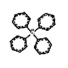 c1cc[c]([SbH]([c]2ccccc2)([c]2ccccc2)[c]2ccccc2)cc1